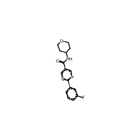 O=C(NC1CCOCC1)c1cnc(-c2cccc(F)c2)nc1